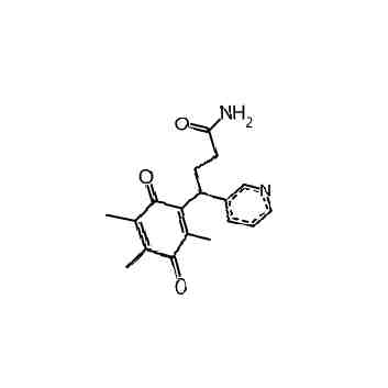 CC1=C(C)C(=O)C(C(CCC(N)=O)c2cccnc2)=C(C)C1=O